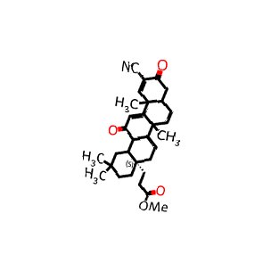 COC(=O)CC[C@@]12CCC3C(C(=O)C=C4C5(C)C=C(C#N)C(=O)CC5CCC43C)C1CC(C)(C)CC2